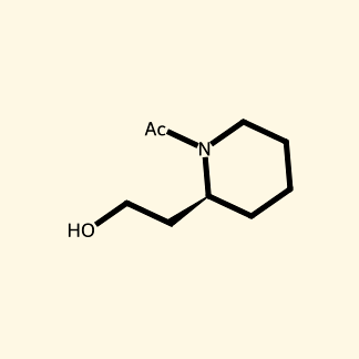 CC(=O)N1CCCC[C@H]1CCO